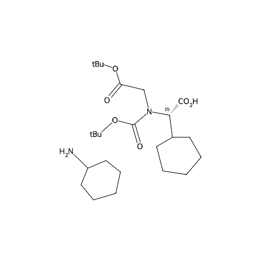 CC(C)(C)OC(=O)CN(C(=O)OC(C)(C)C)[C@H](C(=O)O)C1CCCCC1.NC1CCCCC1